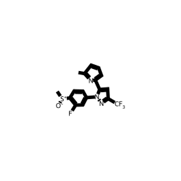 Cc1cccc(-c2cc(C(F)(F)F)nn2-c2ccc([S+](C)[O-])c(F)c2)n1